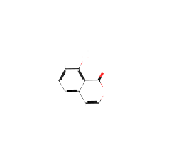 O=c1occc2cccc(O)c12